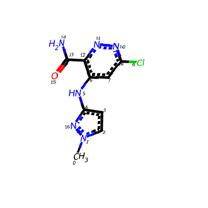 Cn1ccc(Nc2cc(Cl)nnc2C(N)=O)n1